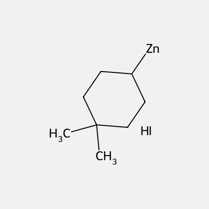 CC1(C)CC[CH]([Zn])CC1.I